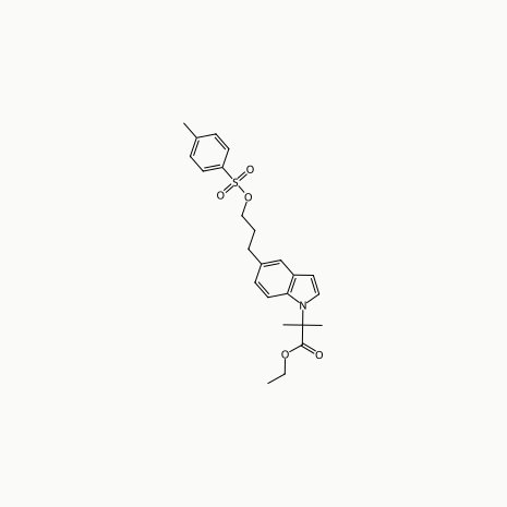 CCOC(=O)C(C)(C)n1ccc2cc(CCCOS(=O)(=O)c3ccc(C)cc3)ccc21